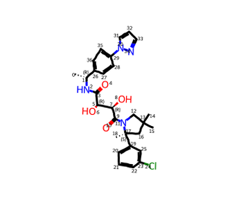 C[C@@H](NC(=O)[C@H](O)[C@@H](O)C(=O)N1CC(C)(C)C[C@@]1(C)c1cccc(Cl)c1)c1ccc(-n2cccn2)cc1